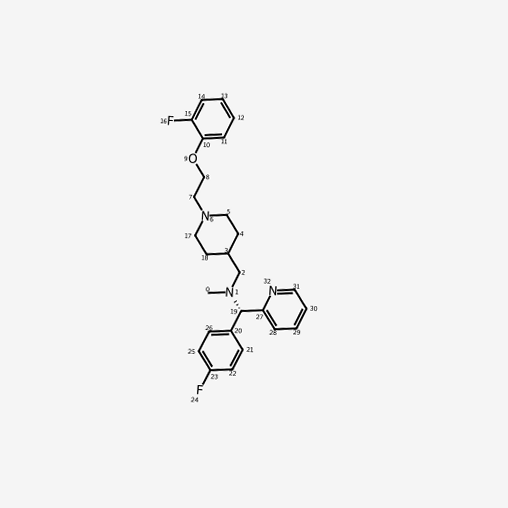 CN(CC1CCN(CCOc2ccccc2F)CC1)[C@@H](c1ccc(F)cc1)c1ccccn1